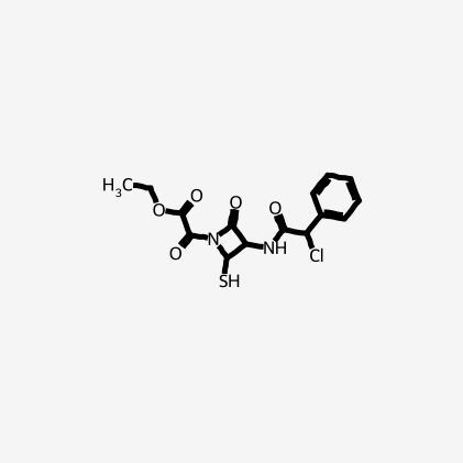 CCOC(=O)C(=O)N1C(=O)C(NC(=O)C(Cl)c2ccccc2)C1S